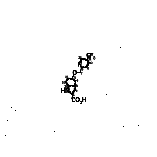 O=C(O)c1cc2cc(OCc3ccc(C(F)(F)F)cn3)ccc2[nH]1